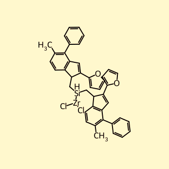 Cc1ccc2c(c1-c1ccccc1)C=C(c1ccco1)C2C[SiH](CC1C(c2ccco2)=Cc2c1ccc(C)c2-c1ccccc1)[Zr]([Cl])[Cl]